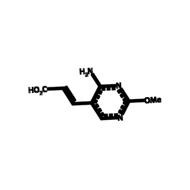 COc1ncc(C=CC(=O)O)c(N)n1